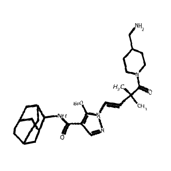 CC(C)COc1c(C(=O)NC2C3CC4CC(C3)CC2C4)cnn1/C=C/C(C)(C)C(=O)N1CCC(CN)CC1